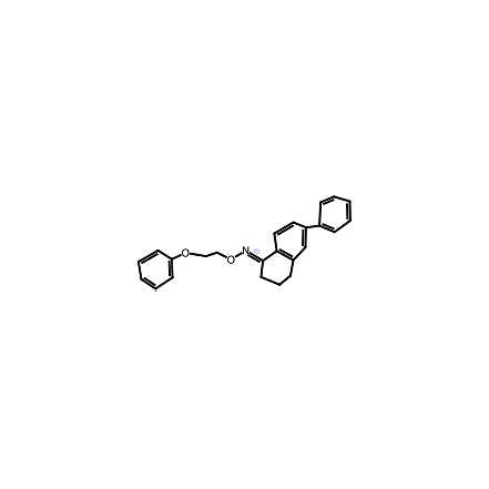 [c]1cccc(OCCO/N=C2\CCCc3cc(-c4ccccc4)ccc32)c1